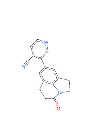 N#Cc1ccncc1-c1cc2c3c(c1)CCN3C(=O)CC2